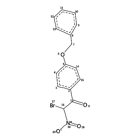 O=C(c1ccc(OCc2ccccc2)cc1)C(Br)[N+](=O)[O-]